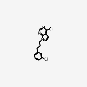 Clc1cccc(CCCn2ccc3c(Cl)ncnc32)c1